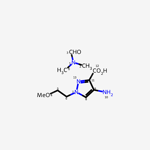 CN(C)C=O.COCCn1cc(N)c(C(=O)O)n1